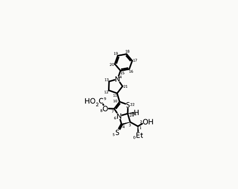 CC[C@H](O)[C@H]1C(=S)N2C(OC(=O)O)=C(C3CCN(c4ccccc4)C3)S[C@H]12